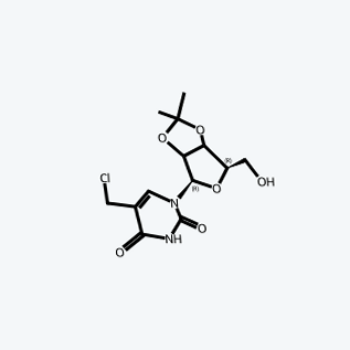 CC1(C)OC2C(O1)[C@@H](CO)O[C@H]2n1cc(CCl)c(=O)[nH]c1=O